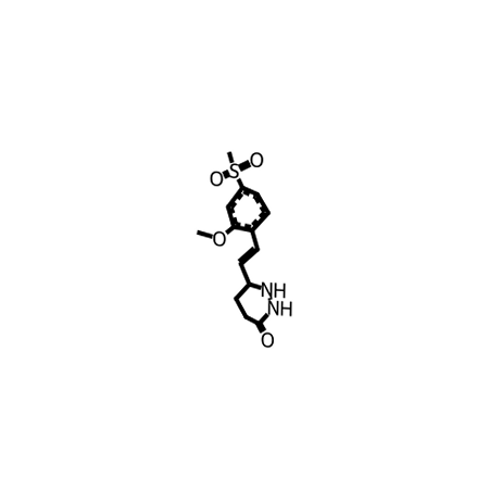 COc1cc(S(C)(=O)=O)ccc1/C=C/C1CCC(=O)NN1